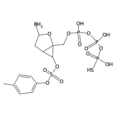 BC1CC2C(OS(=O)(=O)Oc3ccc(C)cc3)C2(COP(=O)(O)OP(=O)(O)OP(=O)(O)S)O1